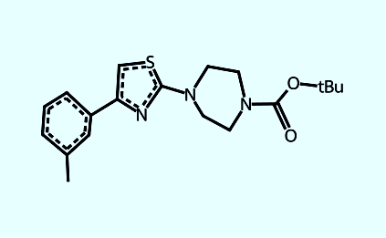 Cc1cccc(-c2csc(N3CCN(C(=O)OC(C)(C)C)CC3)n2)c1